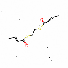 CC=CC(=O)SCCSC(=O)C=CC